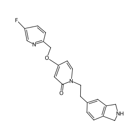 O=c1cc(OCc2ccc(F)cn2)ccn1CCc1ccc2c(c1)CNC2